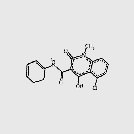 Cn1c(=O)c(C(=O)NC2=CC=CCC2)c(O)c2c(Cl)cccc21